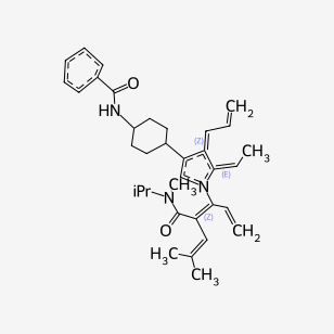 C=C/C=c1/c(C2CCC(NC(=O)c3ccccc3)CC2)cn(/C(C=C)=C(/C=C(C)C)C(=O)N(C)C(C)C)/c1=C/C